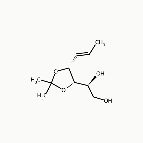 CC=C[C@H]1OC(C)(C)O[C@H]1[C@@H](O)CO